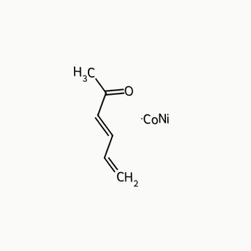 C=CC=CC(C)=O.[Co].[Ni]